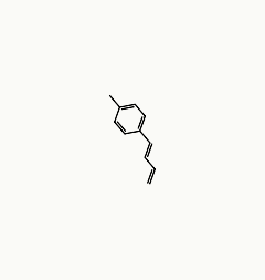 C=CC=Cc1ccc(C)cc1